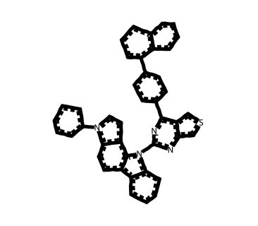 c1ccc(-n2ccc3c2ccc2c4ccccc4n(-c4nc(-c5ccc(-c6cccc7ccccc67)cc5)c5cscc5n4)c23)cc1